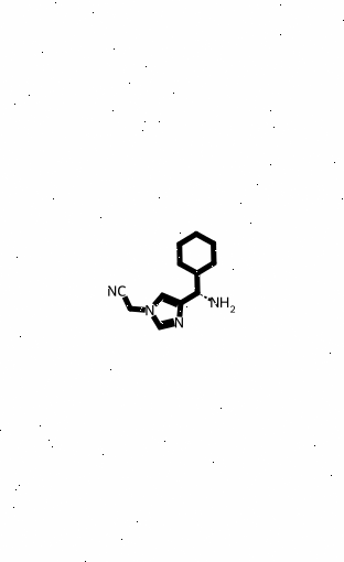 N#CCn1cnc([C@@H](N)C2CCCCC2)c1